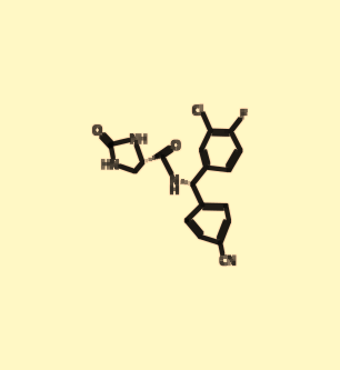 N#Cc1ccc([C@H](NC(=O)[C@@H]2CNC(=O)N2)c2ccc(F)c(Cl)c2)cc1